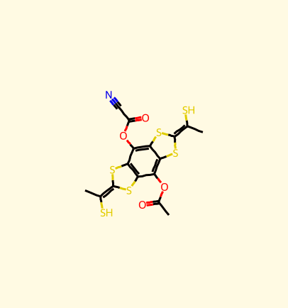 CC(=O)Oc1c2c(c(OC(=O)C#N)c3c1S/C(=C(/C)S)S3)S/C(=C(/C)S)S2